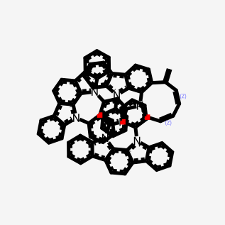 C=C1/C=C\C=C/CN(c2cc(-n3c4ccccc4c4ccc5c6ccccc6n(-c6ccccc6)c5c43)cc(-n3c4ccccc4c4ccc5c6ccccc6n(-c6ccccc6)c5c43)n2)c2c1ccc1c3ccccc3n(-c3ccccc3)c21